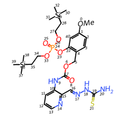 COc1ccc(COC(=O)Nc2cccnc2C=NNC(N)=S)c(OP(=O)(OCC[Si](C)(C)C)OCC[Si](C)(C)C)c1